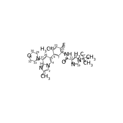 Cc1cn2cc(-c3cc(NC(=O)c4cn(C(C)(C)C)cn4)c(F)cc3C)cc(N3CCOCC3)c2n1